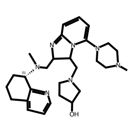 CN1CCN(C2=CC=CC3=NC(CN(C)[C@H]4CCCc5cccnc54)C(CN4CCC(O)C4)N23)CC1